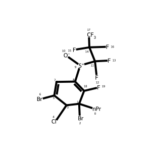 CCCC1(Br)[C](Cl)C(Br)=CC([S+]([O-])C(F)(F)C(F)(F)C(F)(F)F)=C1F